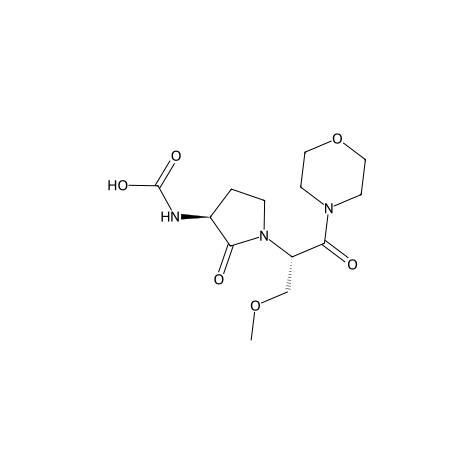 COC[C@@H](C(=O)N1CCOCC1)N1CC[C@H](NC(=O)O)C1=O